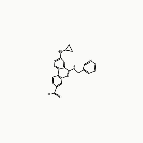 O=C(O)c1ccc2c(c1)nc(NCc1cccnc1)c1nc(NC3CC3)ncc12